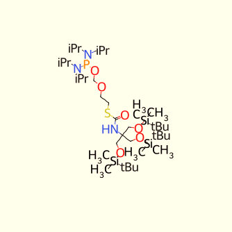 CC(C)N(C(C)C)P(OCOCCSC(=O)NC(CO[Si](C)(C)C(C)(C)C)(CO[Si](C)(C)C(C)(C)C)CO[Si](C)(C)C(C)(C)C)N(C(C)C)C(C)C